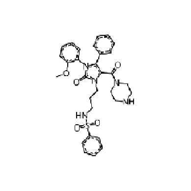 COc1ccccc1-n1c(-c2ccccc2)c(C(=O)N2CCNCC2)n(CCCNS(=O)(=O)c2ccccc2)c1=O